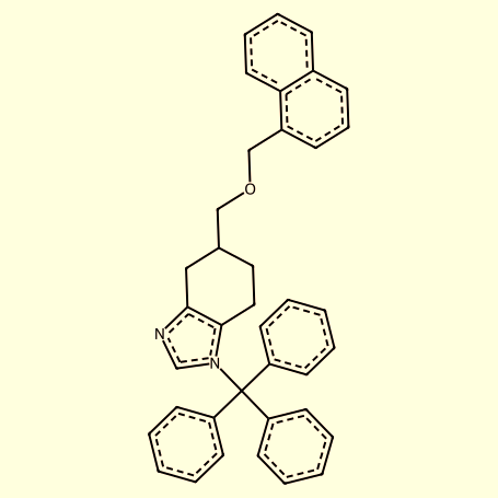 c1ccc(C(c2ccccc2)(c2ccccc2)n2cnc3c2CCC(COCc2cccc4ccccc24)C3)cc1